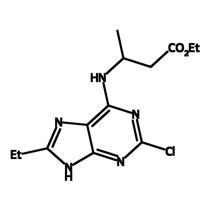 CCOC(=O)CC(C)Nc1nc(Cl)nc2[nH]c(CC)nc12